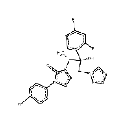 CC(C)c1ccc(-n2ccn([C@H](C)[C@](O)(Cn3cncn3)c3ccc(F)cc3F)c2=O)cc1